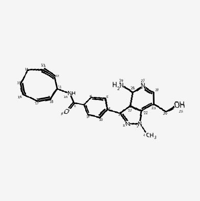 CN1N=C(c2ccc(C(=O)NC3C#CC/C=C\C=C/3)cc2)C2C1=C(CO)C=NC2N